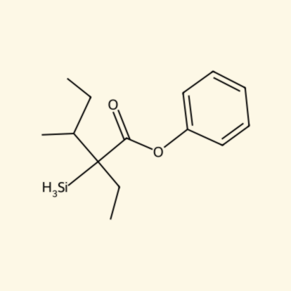 CCC(C)C([SiH3])(CC)C(=O)Oc1ccccc1